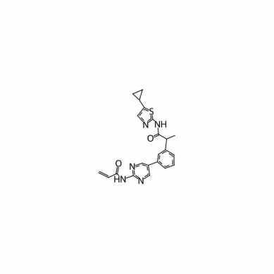 C=CC(=O)Nc1ncc(-c2cccc(C(C)C(=O)Nc3ncc(C4CC4)s3)c2)cn1